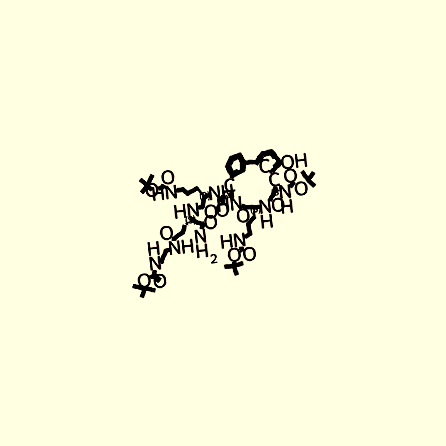 CC(C)(C)OC(=O)NCCC[C@@H]1NC(=O)[C@@H](NC(=O)OC(C)(C)C)Cc2cc(ccc2O)-c2cccc(c2)C[C@@H](C(=O)N[C@H](CCCNC(=O)OC(C)(C)C)C(=O)N[C@@H](CCC(=O)NCCNC(=O)OC(C)(C)C)C(N)=O)NC1=O